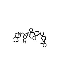 C/C=C\C1=C(C)CCN(C[C@@H](O)CN2CCOc3cc(OC4CCN(C(C)=O)C4)ccc3C2=O)C1